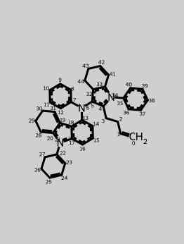 C=CCCc1c(N(c2ccccc2)c2cccc3c2c2c(n3C3=CC=CCC3)=CCCC=2)c2c(n1-c1ccccc1)C=CCC2